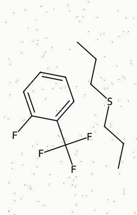 CCCSCCC.Fc1ccccc1C(F)(F)F